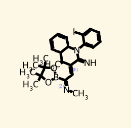 C=C1/C(=C\C(=N/C)B2OC(C)(C)C(C)(C)O2)C(=N)N(c2ccccc2I)C2C=CC=CC12